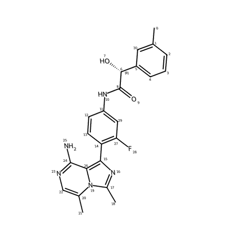 Cc1cccc([C@@H](O)C(=O)Nc2ccc(-c3nc(C)n4c(C)cnc(N)c34)c(F)c2)c1